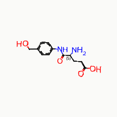 N[C@@H](CCC(=O)O)C(=O)Nc1ccc(CO)cc1